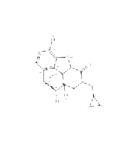 O=C1C(CC2CC2)CC2(O)[C@H]3Cc4ccc(O)c5c4[C@@]2(CCN3)C1O5